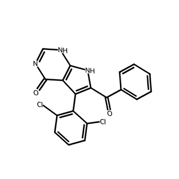 O=C(c1ccccc1)c1[nH]c2[nH]cnc(=O)c2c1-c1c(Cl)cccc1Cl